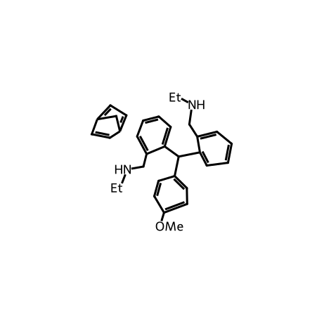 C1=CC2=CC=C1C2.CCNCc1ccccc1C(c1ccc(OC)cc1)c1ccccc1CNCC